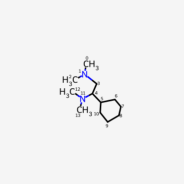 CN(C)CC(C1CCCCC1)N(C)C